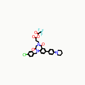 O=C(CCN1CC(=O)N(Cc2ccc(Cl)cc2)c2ccc(-c3ccc(N4CCCCC4)cc3)cc2C1=O)OC(=O)C(F)(F)F